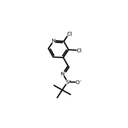 CC(C)(C)[S+]([O-])N=Cc1ccnc(Cl)c1Cl